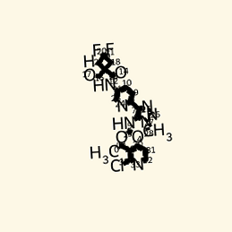 C[C@@H](OC(=O)Nc1c(-c2ccc(NC(=O)C3(CO)CC(F)(F)C3)cn2)nnn1C)c1cccnc1Cl